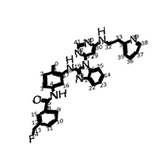 Cc1ccc(NC(=O)c2cccc(CF)c2)cc1Nc1nc2ccccc2n1-c1cc(NCCc2ccccn2)ncn1